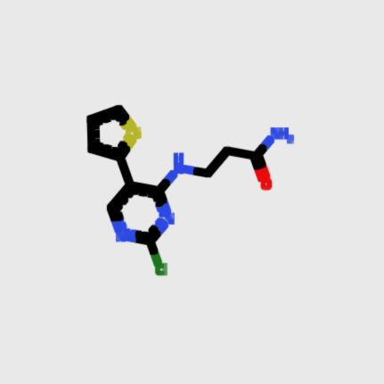 NC(=O)CCNc1nc(Cl)ncc1-c1cccs1